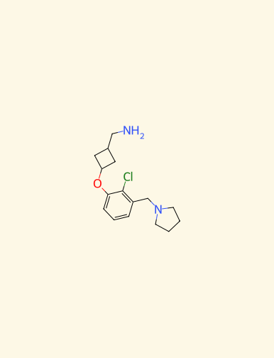 NCC1CC(Oc2cccc(CN3CCCC3)c2Cl)C1